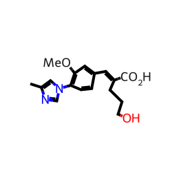 COc1cc(C=C(CCCO)C(=O)O)ccc1-n1cnc(C)c1